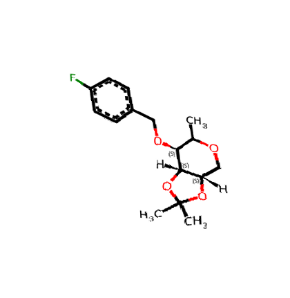 CC1OC[C@@H]2OC(C)(C)O[C@@H]2[C@H]1OCc1ccc(F)cc1